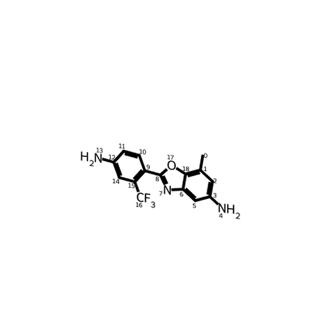 Cc1cc(N)cc2nc(-c3ccc(N)cc3C(F)(F)F)oc12